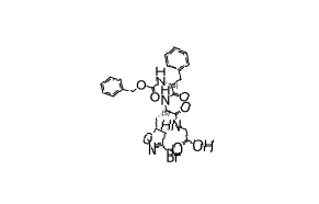 O=C(O)CNC(=O)[C@H](CC1CC(Br)=NO1)NC(=O)[C@H](Cc1ccccc1)NC(=O)OCc1ccccc1